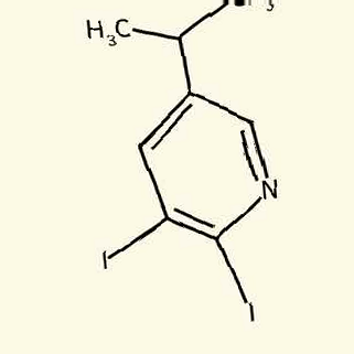 CC(C)c1cnc(I)c(I)c1